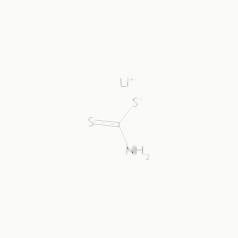 NC(=S)[S-].[Li+]